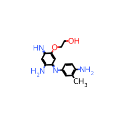 Cc1cc(/N=C2\C=C(OCCO)C(=N)C=C2N)ccc1N